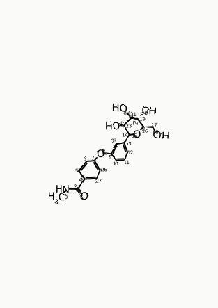 CNC(=O)c1ccc(Oc2cccc(C3O[C@H](CO)[C@@H](O)[C@H](O)[C@@H]3O)c2)cc1